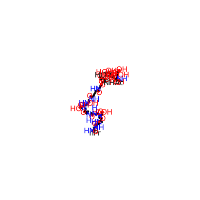 CCCNC(=O)CNC(=O)CNC(C)C(=O)CN(CC(O)O)C(=O)CNC(=O)CNC(C)(C)C(=O)CN(CC(O)O)C(=O)CNC(O)CNC(=O)CCCCC(=O)NCCO[C@@H]1OC(CO)[C@@H](O[C@@H]2OC(O[C@]3(C(=O)O)CC(O)[C@@H](NC(C)O)C(C(O)C(O)CO)O3)[C@H](O)C(O)C2O)C(O)C1NC(C)=O